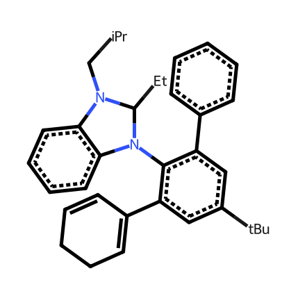 CCC1N(CC(C)C)c2ccccc2N1c1c(C2=CCCC=C2)cc(C(C)(C)C)cc1-c1ccccc1